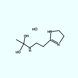 CC(O)(O)NCCC1=NCCN1.Cl